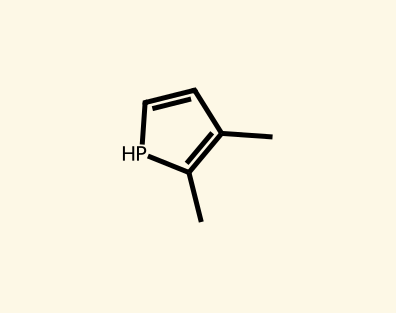 Cc1cc[pH]c1C